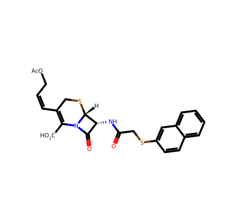 CC(=O)OC/C=C\C1=C(C(=O)O)N2C(=O)[C@@H](NC(=O)CSc3ccc4ccccc4c3)[C@H]2SC1